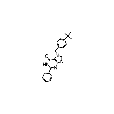 CC(C)(C)c1ccc(Cn2cnc3nc(-c4ccccc4)[nH]c(=O)c32)cc1